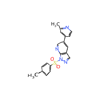 Cc1ccc(S(=O)(=O)n2ncc3cc(-c4ccnc(C)c4)cnc32)cc1